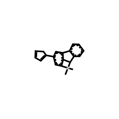 C[Si]1(C)c2[c]c(C3=CC=CC3)cc3c2C1c1ccccc1-3